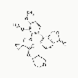 COc1ccc(-c2cccc3c2COC3=O)c(OCC2(C(=O)OC3CCOCC3)CC2)c1OC